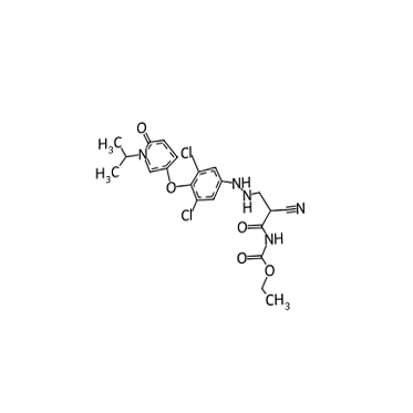 CCOC(=O)NC(=O)C(C#N)CNNc1cc(Cl)c(Oc2ccc(=O)n(C(C)C)c2)c(Cl)c1